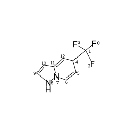 FC(F)(F)C1C=CN2NC=CC2=C1